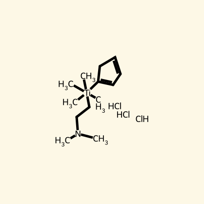 CN(C)C[CH2][Ti]([CH3])([CH3])([CH3])([CH3])[C]1=CC=CC1.Cl.Cl.Cl